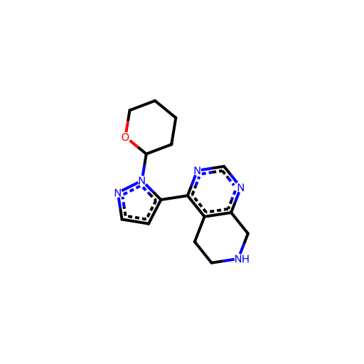 c1nc2c(c(-c3ccnn3C3CCCCO3)n1)CCNC2